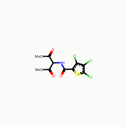 COC(=O)C(NC(=O)c1sc(Cl)c(Cl)c1Cl)C(=O)OC